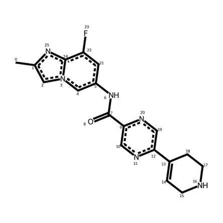 Cc1cn2cc(NC(=O)c3cnc(C4=CCNCC4)cn3)cc(F)c2n1